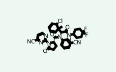 CC1([C@@H](C(=O)NC2CCC(F)(F)CC2)N(C(=O)[C@@H]2CCC(=O)N2c2nccc(C#N)n2)c2cccc(C#N)c2)C=CC=CC1Cl